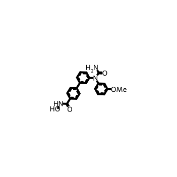 COc1cccc(N(C(N)=O)c2cccc(-c3ccc(C(=O)NO)cc3)c2)c1